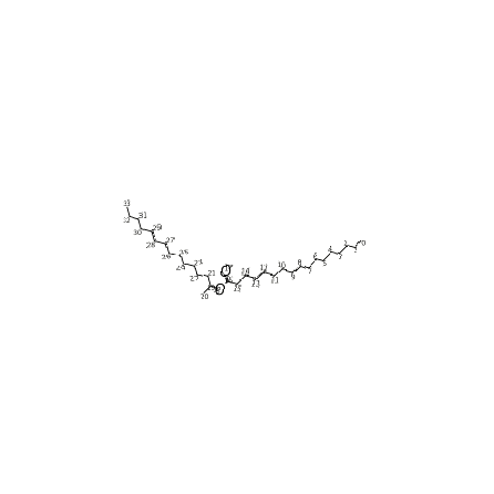 CCCCCCCCCCCCCCCCC(=O)OC(C)CCCCCCCCCCCCC